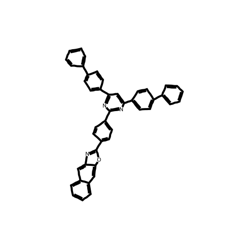 c1ccc(-c2ccc(-c3cc(-c4ccc(-c5ccccc5)cc4)nc(-c4ccc(-c5nc6cc7ccccc7cc6o5)cc4)n3)cc2)cc1